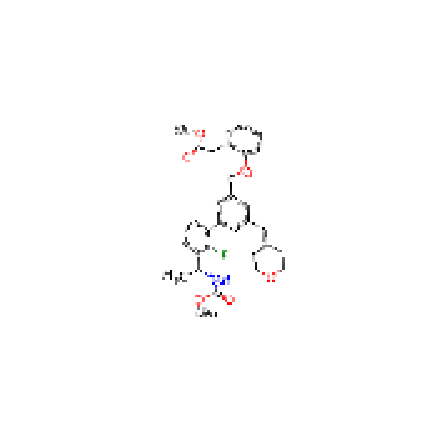 CC(NC(=O)OC(C)(C)C)c1cccc(-c2cc(C=C3CCOCC3)cc(COc3ccccc3CC(=O)OC(C)(C)C)c2)c1F